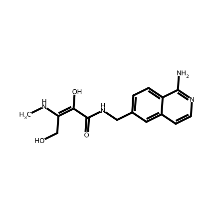 CN/C(CO)=C(\O)C(=O)NCc1ccc2c(N)nccc2c1